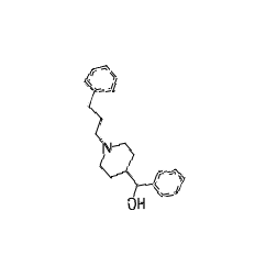 OC(c1ccccc1)C1CCN(CCCc2ccccc2)CC1